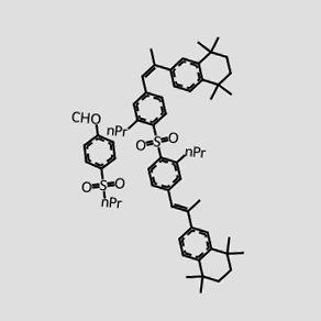 CCCS(=O)(=O)c1ccc(C=O)cc1.CCCc1cc(C=C(C)c2ccc3c(c2)C(C)(C)CCC3(C)C)ccc1S(=O)(=O)c1ccc(C=C(C)c2ccc3c(c2)C(C)(C)CCC3(C)C)cc1CCC